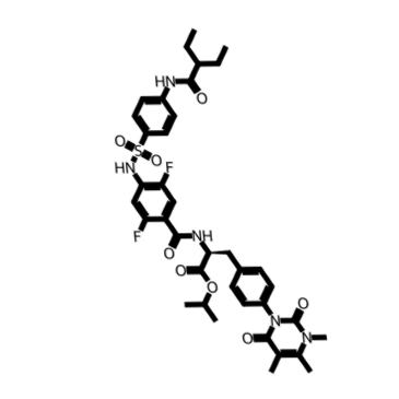 CCC(CC)C(=O)Nc1ccc(S(=O)(=O)Nc2cc(F)c(C(=O)N[C@@H](Cc3ccc(-n4c(=O)c(C)c(C)n(C)c4=O)cc3)C(=O)OC(C)C)cc2F)cc1